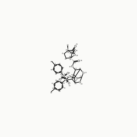 Cc1ccc(S(=O)(=O)OC2C3OC4OC(C3OC(=O)[C@@]35CC[C@](C)(C(=O)O3)C5(C)C)C(OS(=O)(=O)c3ccc(C)cc3)C2O4)cc1